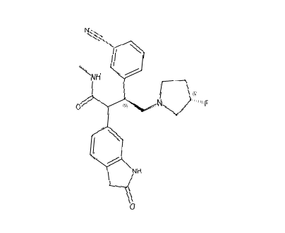 CNC(=O)C(c1ccc2c(c1)NC(=O)C2)[C@H](CN1CC[C@H](F)C1)c1cccc(C#N)c1